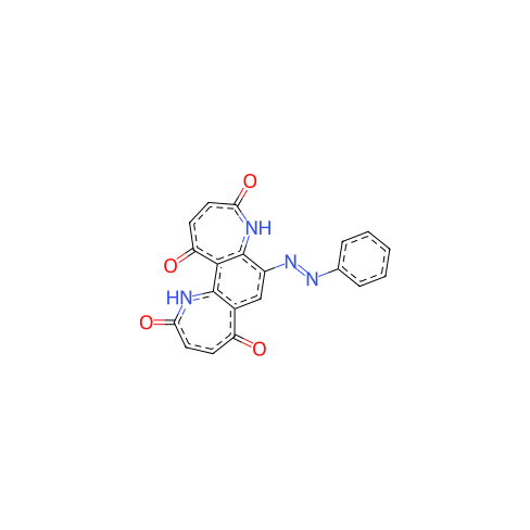 O=c1ccc(=O)c2c([nH]1)c(N=Nc1ccccc1)cc1c(=O)ccc(=O)[nH]c12